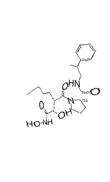 CCCCC(C(=O)N1CCC[C@H]1C(=O)NCC(C)c1ccccc1)C(O)C(=O)NO